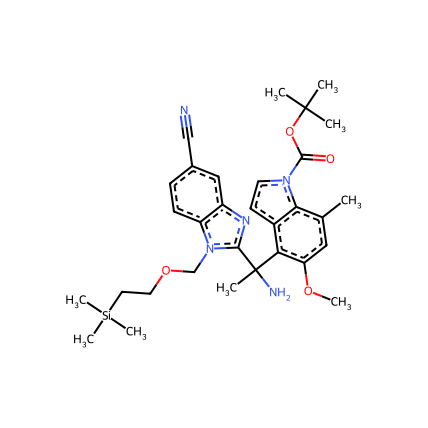 COc1cc(C)c2c(ccn2C(=O)OC(C)(C)C)c1C(C)(N)c1nc2cc(C#N)ccc2n1COCC[Si](C)(C)C